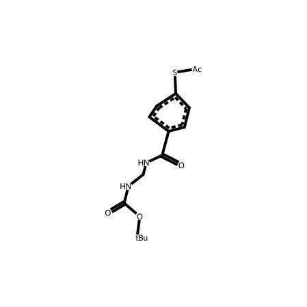 CC(=O)Sc1ccc(C(=O)NCNC(=O)OC(C)(C)C)cc1